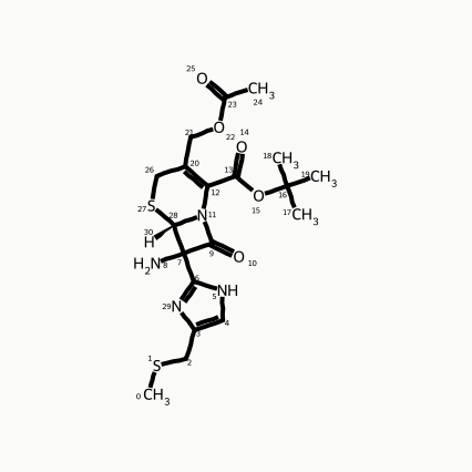 CSCc1c[nH]c(C2(N)C(=O)N3C(C(=O)OC(C)(C)C)=C(COC(C)=O)CS[C@H]32)n1